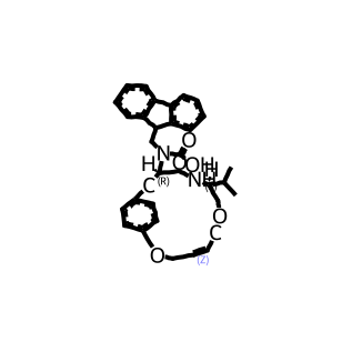 CC(C)[C@H]1COC/C=C\COc2ccc(cc2)C[C@@H](N(CC2c3ccccc3-c3ccccc32)C(=O)O)C(=O)N1